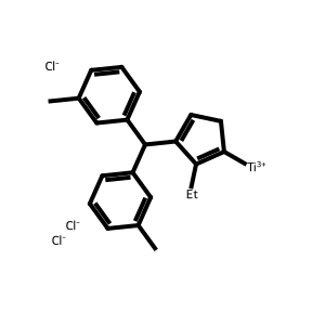 CCC1=[C]([Ti+3])CC=C1C(c1cccc(C)c1)c1cccc(C)c1.[Cl-].[Cl-].[Cl-]